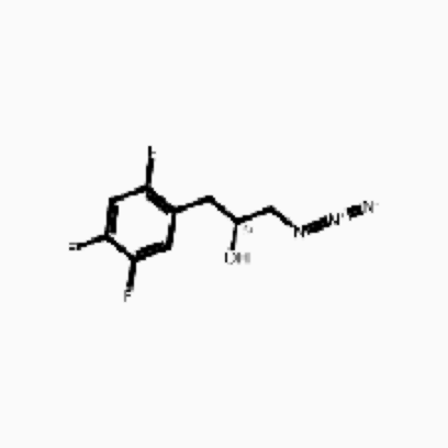 [N-]=[N+]=NC[C@@H](O)Cc1cc(F)c(F)cc1F